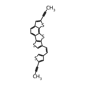 CC#Cc1cc(/C=C\c2csc3c2sc2c3ccc3cc(C#CC)sc32)cs1